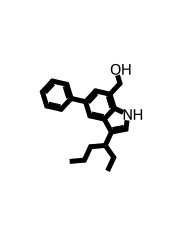 CCCC(CC)c1c[nH]c2c(CO)cc(-c3ccccc3)cc12